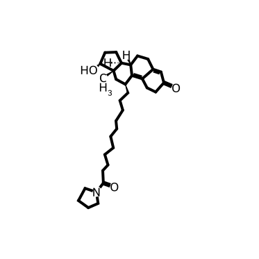 C[C@]12C[C@H](CCCCCCCCCCC(=O)N3CCCC3)C3=C4CCC(=O)C=C4CC[C@H]3[C@@H]1CC[C@@H]2O